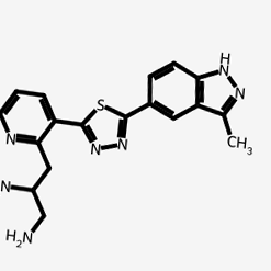 Cc1n[nH]c2ccc(-c3nnc(-c4cccnc4CC(N)CN)s3)cc12